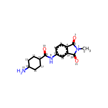 CN1C(=O)c2ccc(NC(=O)C3CCC(N)CC3)cc2C1=O